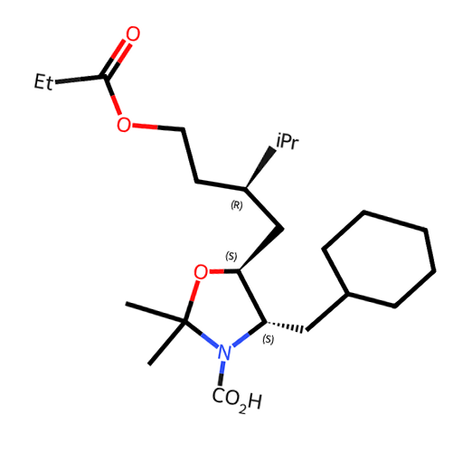 CCC(=O)OCC[C@H](C[C@@H]1OC(C)(C)N(C(=O)O)[C@H]1CC1CCCCC1)C(C)C